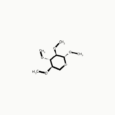 CO[C@@H]1OC[C@@H](OC)[C@H](OC)[C@H]1OC